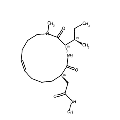 CC[C@@H](C)[C@@H]1NC(=O)[C@@H](CC(=O)NO)CCCC=CCCCN(C)C1=O